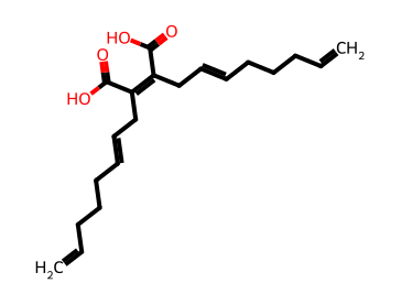 C=CCCC/C=C/C/C(C(=O)O)=C(\C/C=C/CCCC=C)C(=O)O